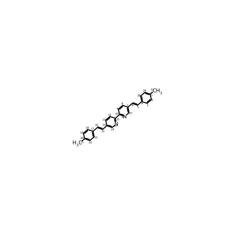 Cc1ccc(/C=C/c2ccc(-c3ccc(/C=C/c4ccc(C)cc4)cn3)nc2)cc1